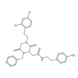 Cc1ccc(CCNC(=O)CC2C(=O)N(CCc3ccc(Cl)cc3Cl)CC(=O)N2Cc2ccncc2)cc1